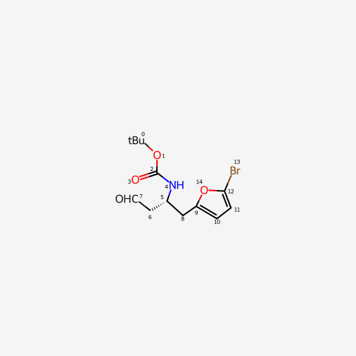 CC(C)(C)OC(=O)N[C@@H](CC=O)Cc1ccc(Br)o1